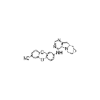 N#Cc1cccc(Oc2ccc(Nc3ncnc4c3N3CCOCC3C4)cc2Cl)c1